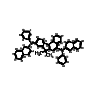 CC1(C)c2cc(N(c3ccccc3)c3ccc4ccccc4c3)ccc2-c2c1cc(N(c1ccccc1)c1ccc3ccccc3c1)c1ccccc21